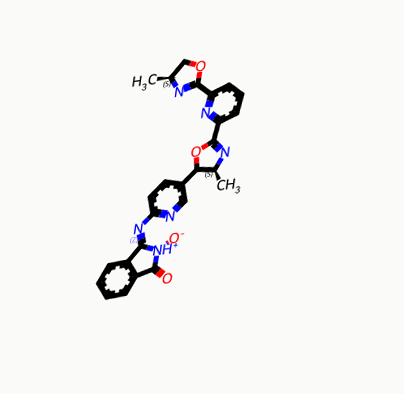 C[C@@H]1N=C(c2cccc(C3=N[C@@H](C)CO3)n2)OC1c1ccc(/N=C2/c3ccccc3C(=O)[NH+]2[O-])nc1